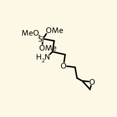 CO[Si](CC(N)COCCC1CO1)(OC)OC